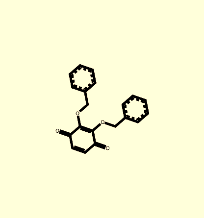 O=C1C=CC(=O)C(OCc2ccccc2)=C1OCc1ccccc1